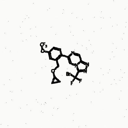 FC(F)(F)Oc1ccc(-c2cn3c(C(F)(F)Br)nnc3cn2)c(COC2CC2)c1